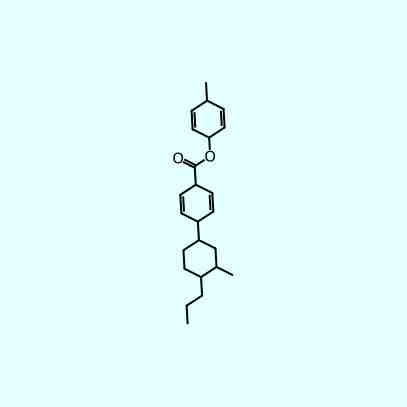 CCCC1CCC(C2C=CC(C(=O)OC3C=CC(C)C=C3)C=C2)CC1C